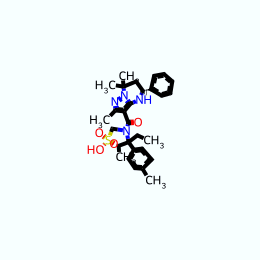 CCC(CC)(c1ccc(C)cc1)N(CS(=O)(=O)O)C(=O)c1c(C)nn2c1N[C@@H](c1ccccc1)CC2(C)C